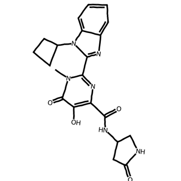 Cn1c(-c2nc3ccccc3n2C2CCC2)nc(C(=O)NC2CNC(=O)C2)c(O)c1=O